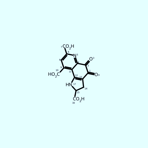 O=C1C(=O)c2nc(C(=O)O)cc(C(=O)O)c2C2=C1CC(C(=O)O)N2